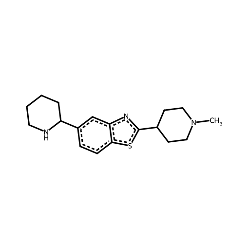 CN1CCC(c2nc3cc(C4CCCCN4)ccc3s2)CC1